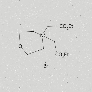 CCOC(=O)C[N+]1(CC(=O)OCC)CCOCC1.[Br-]